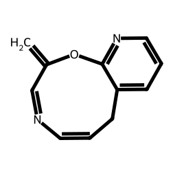 C=C1/C=N\C=C/Cc2cccnc2O1